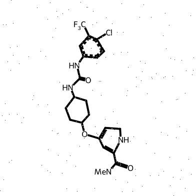 CNC(=O)C1=CC(OC2CCC(NC(=O)Nc3ccc(Cl)c(C(F)(F)F)c3)CC2)=CCN1